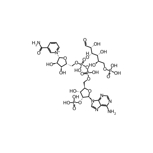 NC(=O)c1ccc[n+]([C@@H]2O[C@H](COP(=O)(O)OP(=O)(O)OC[C@H]3O[C@@H](n4cnc5c(N)ncnc54)[C@H](OP(=O)(O)O)[C@@H]3O)[C@@H](O)[C@H]2O)c1.O=C[C@H](O)[C@@H](O)[C@H](O)[C@H](O)COP(=O)(O)O